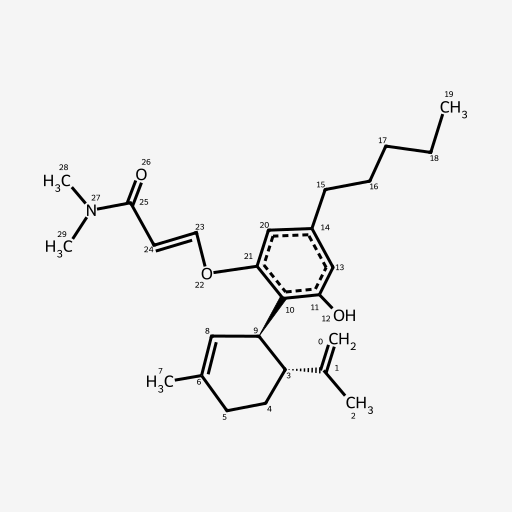 C=C(C)[C@@H]1CCC(C)=C[C@H]1c1c(O)cc(CCCCC)cc1O/C=C/C(=O)N(C)C